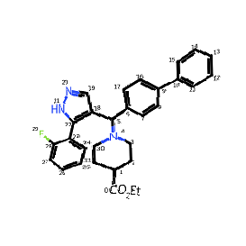 CCOC(=O)C1CCN(C(c2ccc(-c3ccccc3)cc2)c2cn[nH]c2-c2ccccc2F)CC1